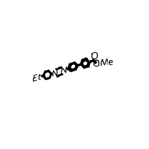 CCC1CCC(N2CCN(c3ccc(-c4ccc(C(=O)OC)cc4)cc3)CC2)CC1